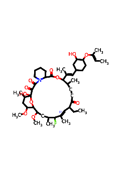 CC=C(C)OC1CCC(C=C(C)C2OC(=O)C3CCCCN3C(=O)C(=O)C3(O)OC(C(OC)CC(C)C(F)/C(C)=C/C(CC)C(=O)CCC2C)C(OC)CC3C)CC1O